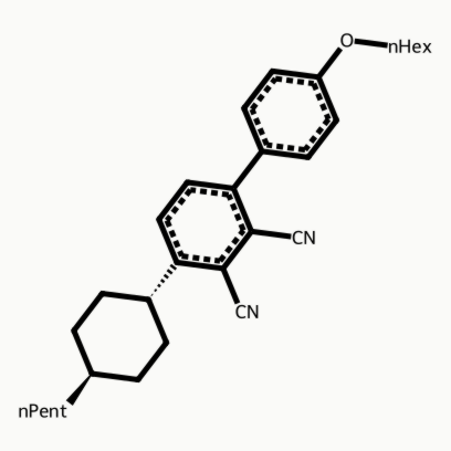 CCCCCCOc1ccc(-c2ccc([C@H]3CC[C@H](CCCCC)CC3)c(C#N)c2C#N)cc1